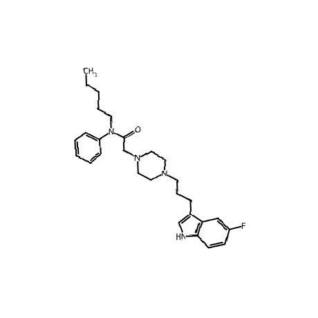 CCCCCN(C(=O)CN1CCN(CCCc2c[nH]c3ccc(F)cc23)CC1)c1ccccc1